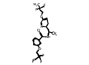 C[C@@H](NC(=O)c1cccc(OCC(F)(F)F)c1)C1CC=C(OCC(C)(F)F)C=N1